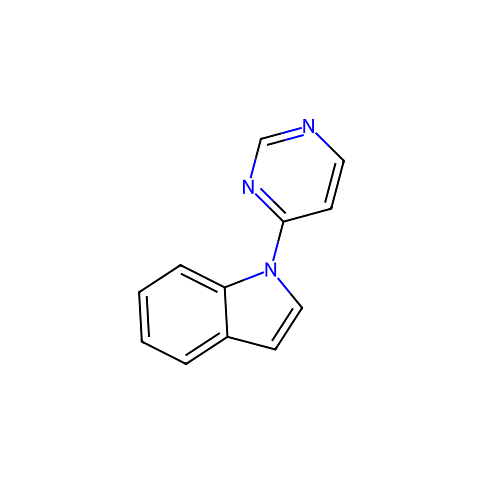 c1ccc2c(c1)ccn2-c1ccncn1